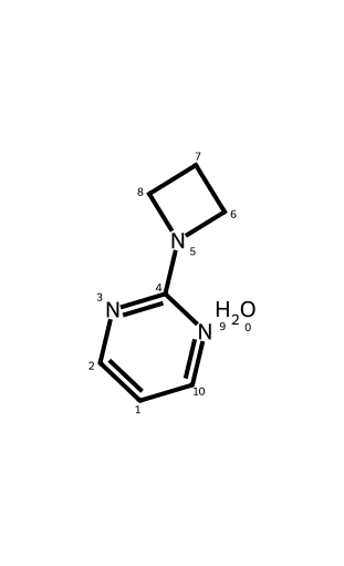 O.c1cnc(N2CCC2)nc1